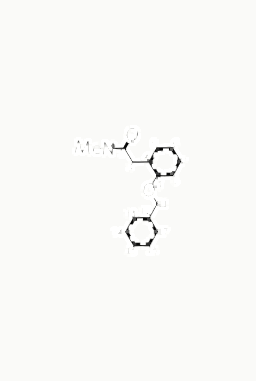 CNC(=O)Cc1ccccc1OCc1ccccc1